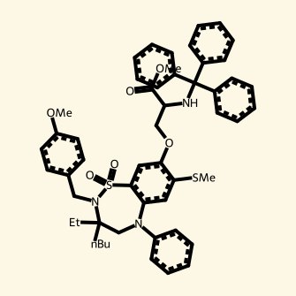 CCCCC1(CC)CN(c2ccccc2)c2cc(SC)c(OCC(NC(c3ccccc3)(c3ccccc3)c3ccccc3)C(=O)OC)cc2S(=O)(=O)N1Cc1ccc(OC)cc1